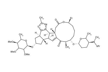 CCCN(C)[C@H]1CC[C@H](O[C@H]2CCC[C@H](CC)OC(=O)C[C@@H]3C(=C[C@H]4[C@@H]5C[C@H](O[C@@H]6OC(C)[C@H](OC)C(OC)C6OC)C[C@H]5c5sc(C)nc5[C@H]43)C(=O)[C@@H]2C)OC1C